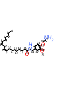 CCCCC/C=C\C/C=C\CCCCCCCC(=O)NCc1ccc(OCCN)c(OC)c1